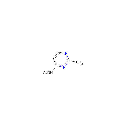 CC(=O)Nc1ccnc(C)n1